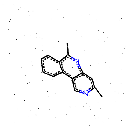 Cc1cc2nc(C)c3ccccc3c2cn1